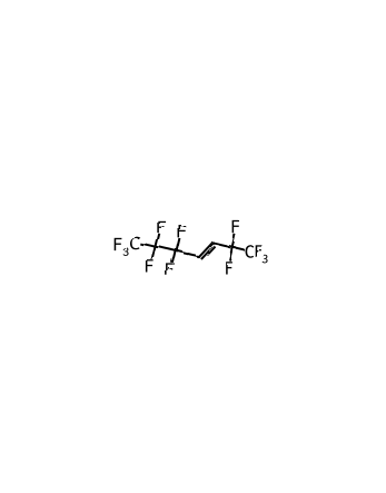 FC(F)(F)C(F)(F)C=CC(F)(F)C(F)(F)C(F)(F)F